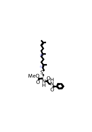 COC(=O)[C@H](CSC/C=C(\C)CC/C=C(\C)CCC=C(C)C)NC(=O)CNC(=O)c1ccccc1